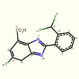 O=C(O)C1=C2N=C(c3ccccc3C(F)F)N=C2CC(F)=C1